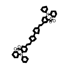 O=S1(=O)c2ccccc2N(c2ccccc2)c2ccc(C=Cc3ccc(-c4ccc(C=Cc5ccc6c(c5)S(=O)(=O)c5ccccc5N6c5ccccc5)cc4)cc3)cc21